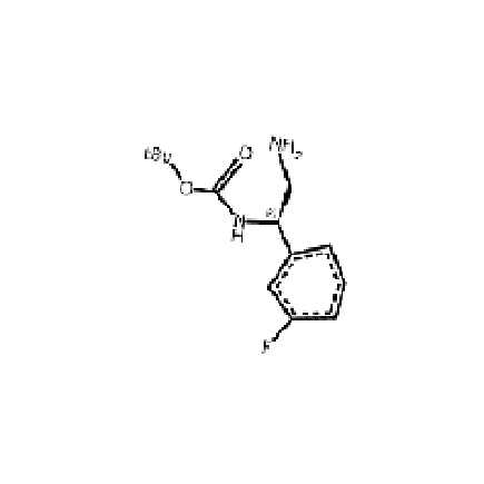 CC(C)(C)OC(=O)N[C@@H](CN)c1cccc(F)c1